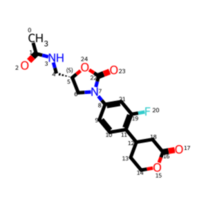 CC(=O)NC[C@H]1CN(c2ccc(C3CCOC(=O)C3)c(F)c2)C(=O)O1